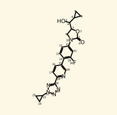 O=C1OC(C(O)C2CC2)CN1c1ccc(-c2ccc(-c3nnn(C4CC4)n3)nc2)c(F)c1